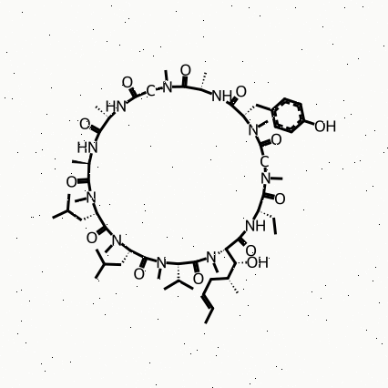 C/C=C/C[C@@H](C)[C@@H](O)[C@H]1C(=O)N[C@@H](CC)C(=O)N(C)CC(=O)N(C)[C@@H](Cc2ccc(O)cc2)C(=O)N[C@@H](C)C(=O)N(C)CC(=O)N[C@@H](C)C(=O)N[C@H](C)C(=O)N(C)[C@@H](CC(C)C)C(=O)N(C)[C@@H](CC(C)C)C(=O)N(C)[C@@H](C(C)C)C(=O)N1C